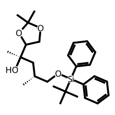 C[C@@H](CO[Si](c1ccccc1)(c1ccccc1)C(C)(C)C)C[C@@](C)(O)C1COC(C)(C)O1